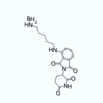 BNCCCCCNc1cccc2c1C(=O)N(C1CCC(=O)NC1=O)C2=O